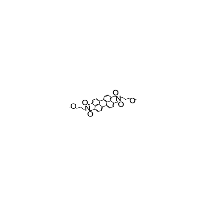 COCCCN1C(=O)c2ccc3c4ccc5c6c(ccc(c7ccc(c2c37)C1=O)c64)C(=O)N(CCCOC)C5=O